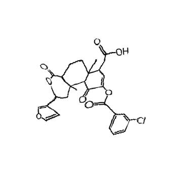 CC12CCC3C(=O)OC(c4ccoc4)CC3(C)C1C(=O)C(OC(=O)c1cccc(Cl)c1)=CC2C(=O)O